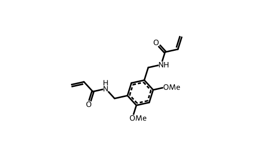 C=CC(=O)NCc1cc(CNC(=O)C=C)c(OC)cc1OC